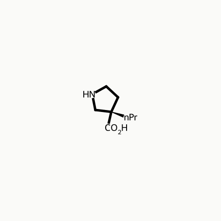 CCC[C@]1(C(=O)O)CCNC1